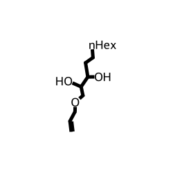 C=CCOCC(O)C(O)CCCCCCCC